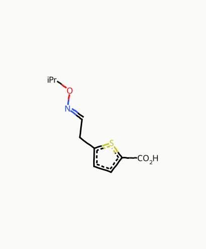 CC(C)ON=CCc1ccc(C(=O)O)s1